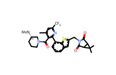 CN[C@H]1CCCN(C(=O)c2c(C)cc(C(F)(F)F)nc2-c2cccc3cc(CN4C(=O)C5C(C4=O)C5(C)C)sc23)C1